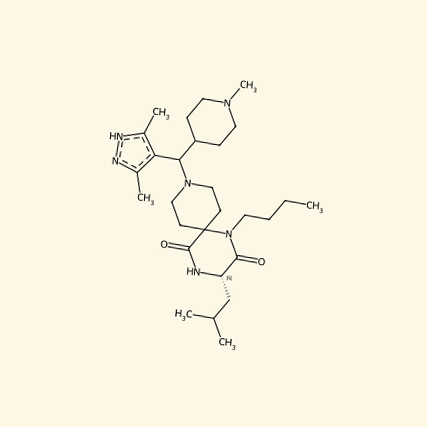 CCCCN1C(=O)[C@H](CC(C)C)NC(=O)C12CCN(C(c1c(C)n[nH]c1C)C1CCN(C)CC1)CC2